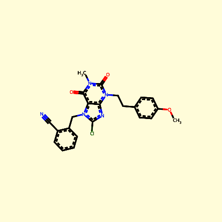 COc1ccc(CCn2c(=O)n(C)c(=O)c3c2nc(Cl)n3Cc2ccccc2C#N)cc1